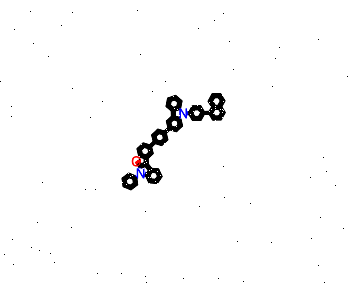 c1ccc(-n2c3ccccc3c3c4cc(-c5ccc(-c6ccc7c(c6)c6ccccc6n7-c6ccc(-c7cccc8ccccc78)cc6)cc5)ccc4oc32)cc1